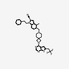 Cc1c(CN2CCC3(CC2)CN(c2ncnc4sc(CC(F)(F)F)cc24)C3)ccc2c1cc(C#N)n2CCc1ccccc1